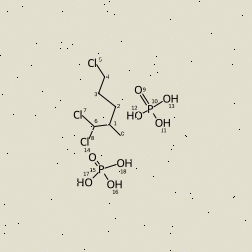 CC(CCCCl)C(Cl)Cl.O=P(O)(O)O.O=P(O)(O)O